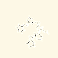 Nc1nc(Nc2cccc(OCc3ccccc3)c2)nn1-c1cc(Nc2ccccc2)ncn1